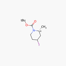 C[C@@H]1CC(I)CCN1C(=O)OC(C)(C)C